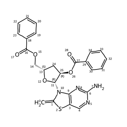 C=C1Sc2cnc(N)nc2N1[C@@H]1O[C@H](COC(=O)c2ccccc2)C[C@H]1OC(=O)c1ccccc1